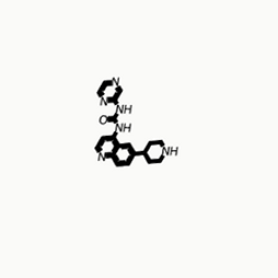 O=C(Nc1cnccn1)Nc1ccnc2ccc(C3CCNCC3)cc12